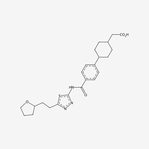 O=C(O)CC1CCC(c2ccc(C(=O)Nc3nnc(CCC4CCCO4)s3)cc2)CC1